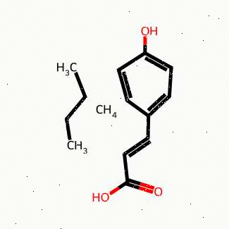 C.CCCC.O=C(O)C=Cc1ccc(O)cc1